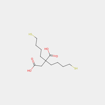 O=C(O)CC(CCCCS)(CCCCS)C(=O)O